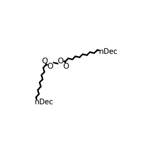 CCCCCCCCCCCCCCCCCCCC(=O)OCCOC(=O)CCCCCCCCCCCCCCCCCCC